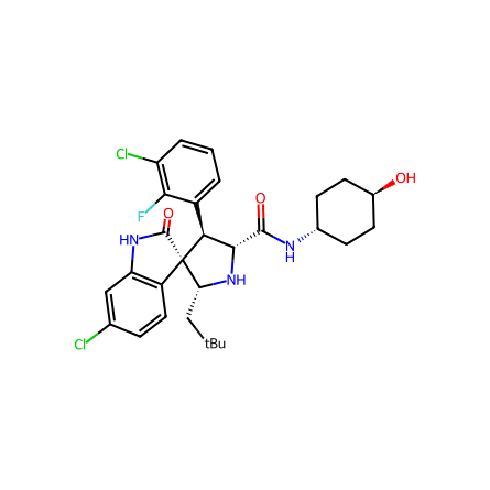 CC(C)(C)C[C@H]1N[C@@H](C(=O)N[C@H]2CC[C@H](O)CC2)[C@H](c2cccc(Cl)c2F)[C@@]12C(=O)Nc1cc(Cl)ccc12